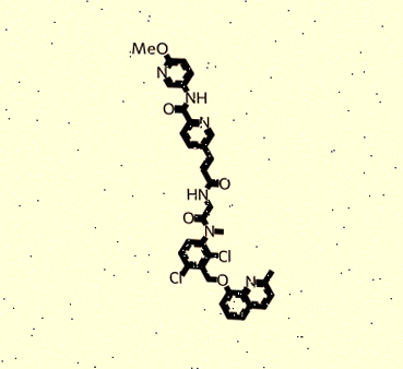 COc1ccc(NC(=O)c2ccc(C=CC(=O)NCC(=O)N(C)c3ccc(Cl)c(COc4cccc5ccc(C)nc45)c3Cl)cn2)cn1